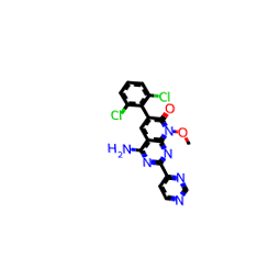 COn1c(=O)c(-c2c(Cl)cccc2Cl)cc2c(N)nc(-c3ccncn3)nc21